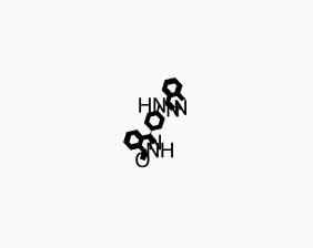 O=c1[nH]nc([C@H]2CC[C@H](Nc3nncc4ccccc34)CC2)c2ccccc12